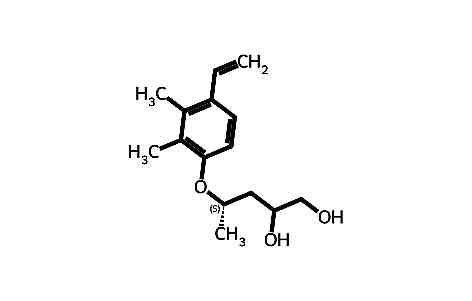 C=Cc1ccc(O[C@@H](C)CC(O)CO)c(C)c1C